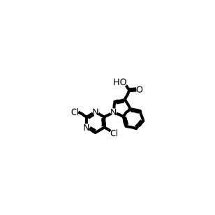 O=C(O)c1cn(-c2nc(Cl)ncc2Cl)c2ccccc12